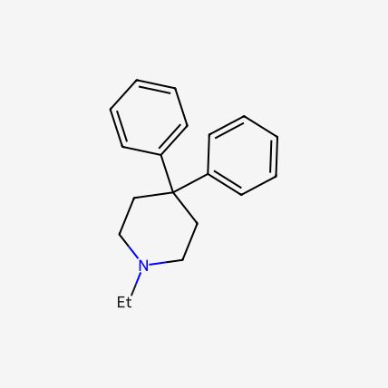 CCN1CCC(c2ccccc2)(c2ccccc2)CC1